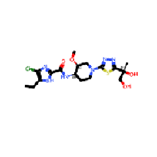 CCc1[nH]c(C(=O)N[C@@H]2CCN(c3nnc([C@](C)(O)CO)s3)C[C@@H]2OC)nc1Cl